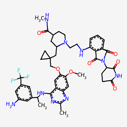 CNC(=O)C1CCN(CCNc2cccc3c2C(=O)N(C2CCC(=O)NC2=O)C3=O)C(CC2(COc3cc4c(NC(C)c5cc(N)cc(C(F)(F)F)c5)nc(C)nc4cc3OC)CC2)C1